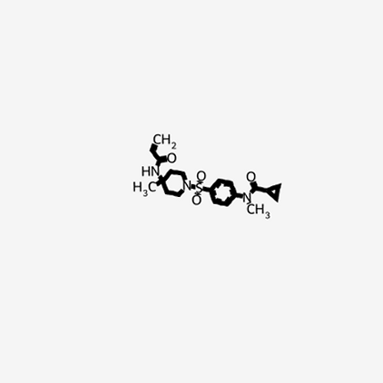 C=CC(=O)NC1(C)CCN(S(=O)(=O)c2ccc(N(C)C(=O)C3CC3)cc2)CC1